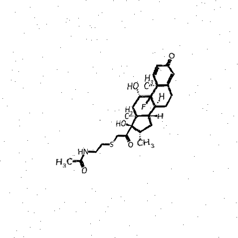 CC(=O)NCCSCC(=O)[C@@]1(O)[C@@H](C)C[C@H]2[C@@H]3CCC4=CC(=O)C=C[C@]4(C)C3(F)[C@@H](O)C[C@@]21C